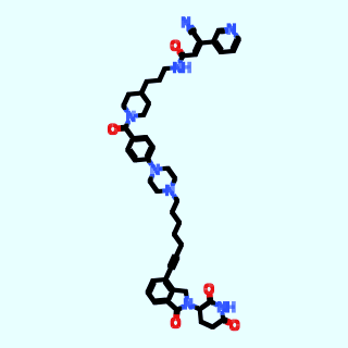 N#C/C(=C\C(=O)NCCCC1CCN(C(=O)c2ccc(N3CCN(CCCCCC#Cc4cccc5c4CN(C4CCC(=O)NC4=O)C5=O)CC3)cc2)CC1)c1cccnc1